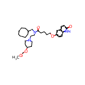 COCOC1CCN(CCN(CC2CCCCCCC2)C(=O)CCCCOc2ccc3[nH]c(=O)ccc3c2)CC1